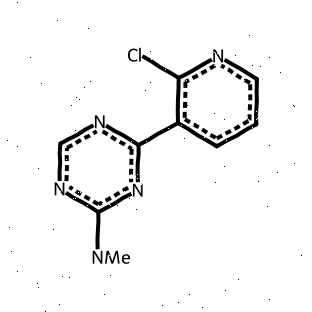 CNc1ncnc(-c2cccnc2Cl)n1